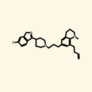 C=CCCc1cc(CCCN2CCC(C3=NCc4cc(F)ccc43)CC2)cc2c1N(C)CCC2